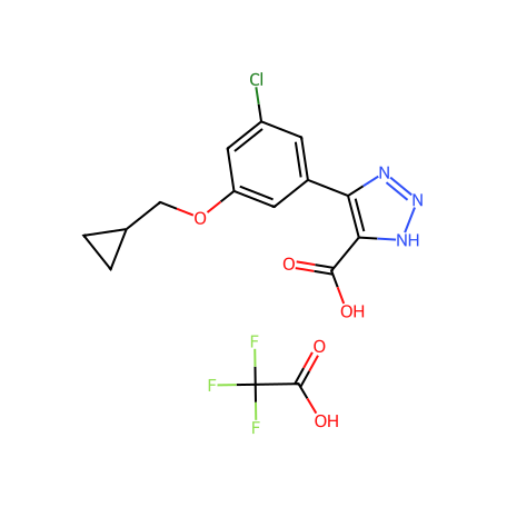 O=C(O)C(F)(F)F.O=C(O)c1[nH]nnc1-c1cc(Cl)cc(OCC2CC2)c1